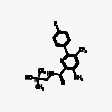 C[C@@](O)(CNC(=O)c1nc(-c2ccc(F)cc2)c(C(F)(F)F)cc1N)C(F)(F)F